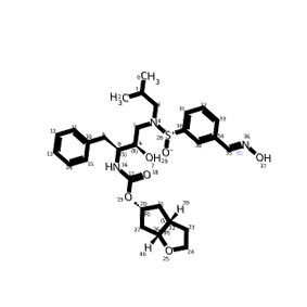 CC(C)CN(C[C@@H](O)[C@H](Cc1ccccc1)NC(=O)O[C@@H]1C[C@@H]2CCO[C@@H]2C1)[S+]([O-])c1cccc(/C=N/O)c1